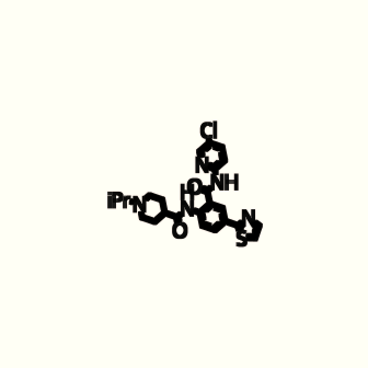 CC(C)N1CCC(C(=O)Nc2ccc(-c3nccs3)cc2C(=O)Nc2ccc(Cl)cn2)CC1